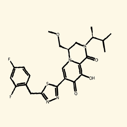 COC[C@H]1CN([C@@H](C)C(C)C)C(=O)c2c(O)c(=O)c(-c3nnc(Cc4ccc(F)cc4F)s3)cn21